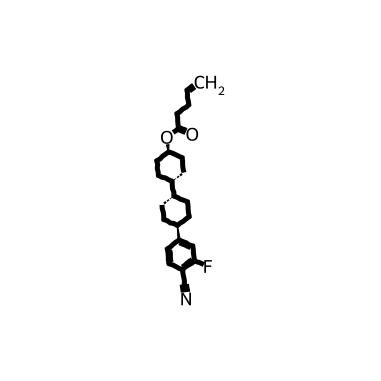 C=CCCC(=O)O[C@H]1CC[C@H]([C@H]2CC[C@H](c3ccc(C#N)c(F)c3)CC2)CC1